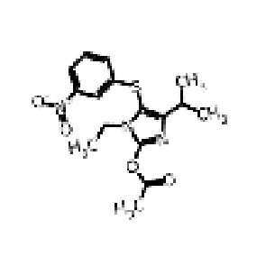 CCn1c(OC(C)=O)nc(C(C)C)c1Sc1cccc([N+](=O)[O-])c1